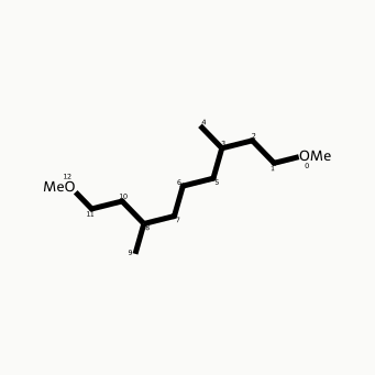 COCCC(C)CCCC(C)CCOC